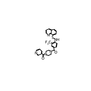 O=C(c1cccnc1)N1CCN(C(=O)c2ccc(NSc3cccc4cccnc34)c(C(F)(F)F)c2)CC1